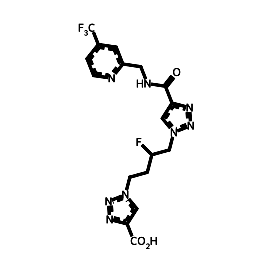 O=C(O)c1cn(CCC(F)Cn2cc(C(=O)NCc3cc(C(F)(F)F)ccn3)nn2)nn1